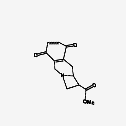 COC(=O)C1CN2CC3=C(CC12)C(=O)C=CC3=O